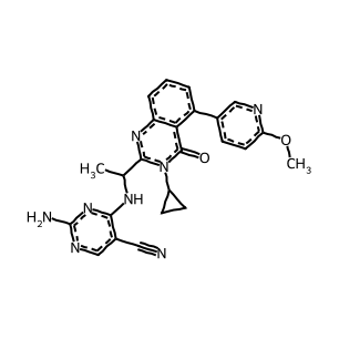 COc1ccc(-c2cccc3nc(C(C)Nc4nc(N)ncc4C#N)n(C4CC4)c(=O)c23)cn1